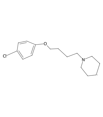 Clc1ccc(OCCCCN2CC[CH]CC2)cc1